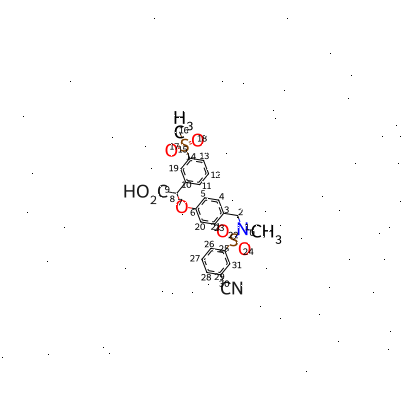 CN(Cc1ccc(OC(C(=O)O)c2cccc(S(C)(=O)=O)c2)cc1)S(=O)(=O)c1cccc(C#N)c1